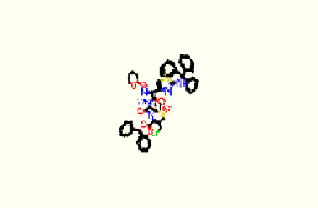 O=C(NC1C(=O)N2C(C(=O)OC(c3ccccc3)c3ccccc3)=C(CCl)C[S+]([O-])[C@@H]12)C(=NOC1CCCCO1)c1csc(NC(c2ccccc2)(c2ccccc2)c2ccccc2)n1